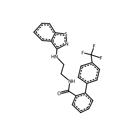 O=C(NCCNc1nsc2ccccc12)c1ccccc1-c1ccc(C(F)(F)F)cc1